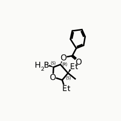 B[C@@H]1OC(CC)[C@](C)(CC)[C@H]1OC(=O)c1ccccc1